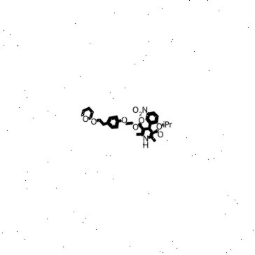 CC1=C(C(=O)OCCOc2ccc(CCOC3CCCCO3)cc2)C(c2cccc([N+](=O)[O-])c2)C(C(=O)OC(C)C)=C(C)N1